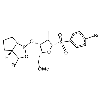 COC[C@H]1O[C@@H](S(=O)(=O)c2ccc(Br)cc2)C(C)[C@H]1OP1OC(C(C)C)[C@@H]2CCCN21